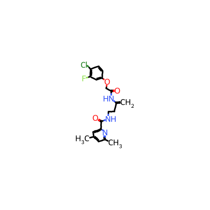 C=C(CCNC(=O)c1cc(C)cc(C)n1)NC(=O)COc1ccc(Cl)c(F)c1